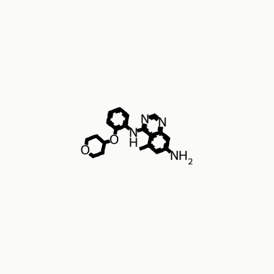 Cc1cc(N)cc2ncnc(Nc3ccccc3OC3CCOCC3)c12